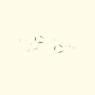 COc1cccc(C(C)Cc2cccc(C(C)C)c2OC)c1